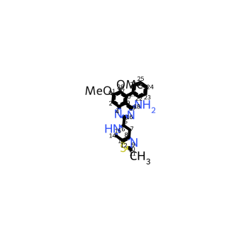 COc1cc2nc(C3Cc4nc(C)sc4CN3)nc(N)c2c(-c2ccccc2)c1OC